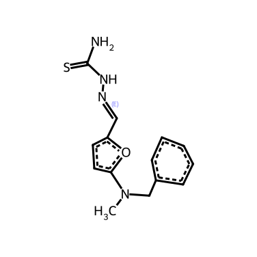 CN(Cc1ccccc1)c1ccc(/C=N/NC(N)=S)o1